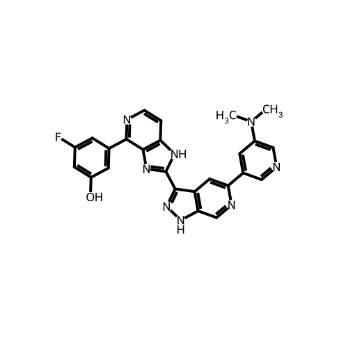 CN(C)c1cncc(-c2cc3c(-c4nc5c(-c6cc(O)cc(F)c6)nccc5[nH]4)n[nH]c3cn2)c1